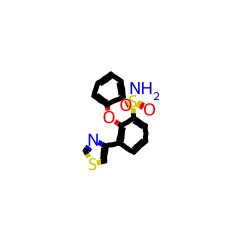 NS(=O)(=O)c1cccc(-c2cscn2)c1Oc1ccccc1